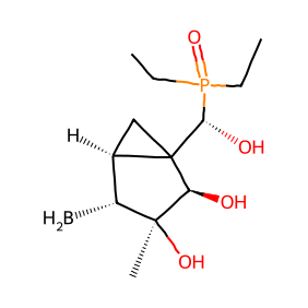 B[C@@H]1[C@H]2CC2([C@@H](O)P(=O)(CC)CC)[C@@H](O)[C@@]1(C)O